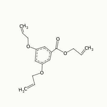 C=CCOC(=O)c1cc(OCC=C)cc(OCC=C)c1